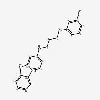 Fc1cccc(OCCCOc2ccc3c(c2)[N]c2ccccc2-3)c1